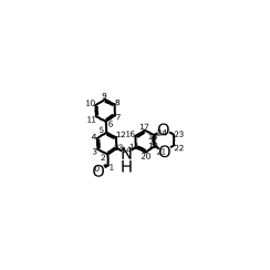 O=Cc1ccc(-c2ccccc2)cc1Nc1ccc2c(c1)OCCO2